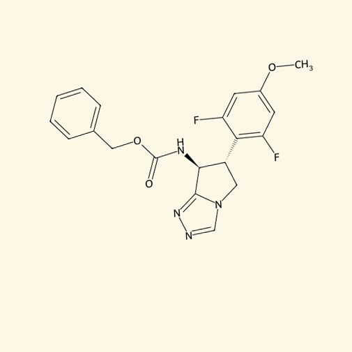 COc1cc(F)c([C@@H]2Cn3cnnc3[C@H]2NC(=O)OCc2ccccc2)c(F)c1